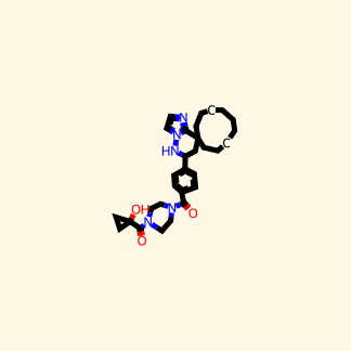 O=C(c1ccc(C2CC3(CCCCCCCCC3)c3nccn3N2)cc1)N1CCN(C(=O)C2(O)CC2)CC1